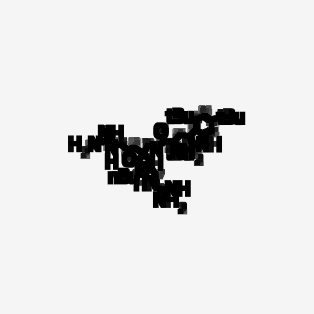 CCCCOC(=O)C(CCCNC(=N)N)(CCCNC(=N)N)CNC(=O)[C@@H](N)Cc1c(C(C)(C)C)[nH]c2cc(C(C)(C)C)cc(C(C)(C)C)c12